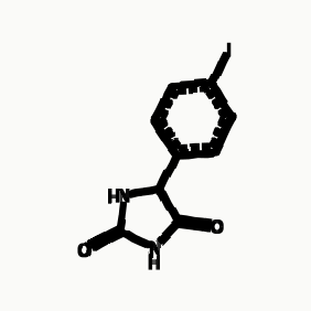 O=C1NC(=O)C(c2ccc(I)cc2)N1